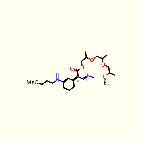 CCOC(C)COC(C)COC(C)COC(=O)C(/C=N/C)=C1\C=C(NCCCOC)CCC1